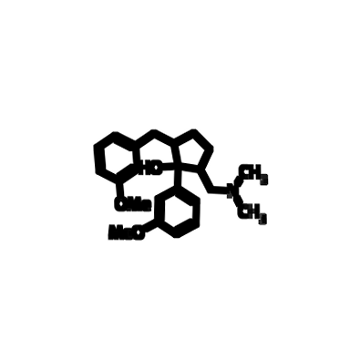 COc1cccc(CC2CCC(CN(C)C)C2(O)c2cccc(OC)c2)c1